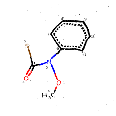 CON(C(=O)[S])c1ccccc1